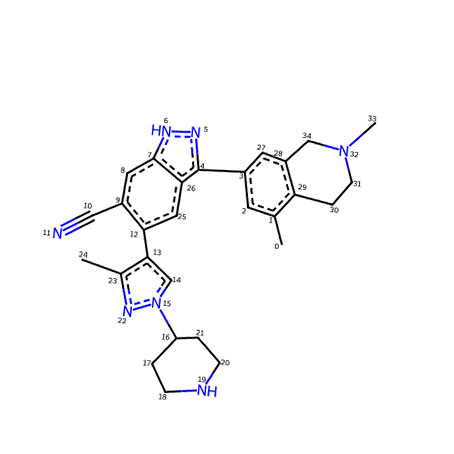 Cc1cc(-c2n[nH]c3cc(C#N)c(-c4cn(C5CCNCC5)nc4C)cc23)cc2c1CCN(C)C2